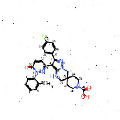 Cc1ccccc1-n1nc(-c2c(-c3ccc(F)cc3)nn3c2NCC2(CCN(C(=O)O)CC2)C3)ccc1=O